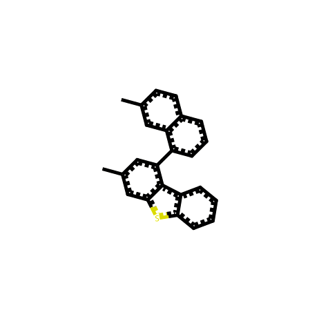 Cc1cc(-c2cccc3ccc(C)cc23)c2c(c1)sc1ccccc12